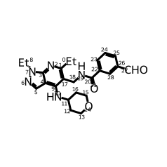 CCc1nc2c(cnn2CC)c(NC2CCOCC2)c1CNC(=O)c1cccc(C=O)c1